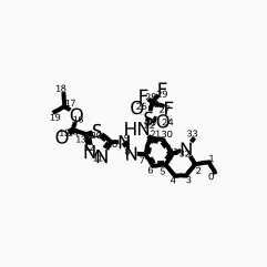 CCC1CCc2cc(N=Nc3nnc(C(=O)OC(C)C)s3)c(NS(=O)(=O)C(F)(F)F)cc2N1C